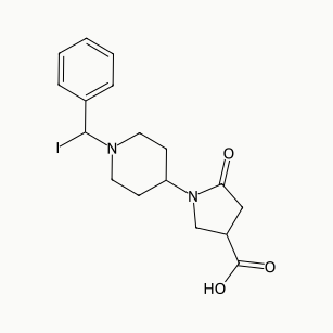 O=C(O)C1CC(=O)N(C2CCN(C(I)c3ccccc3)CC2)C1